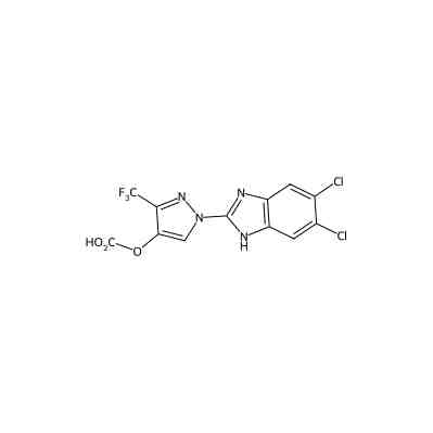 O=C(O)Oc1cn(-c2nc3cc(Cl)c(Cl)cc3[nH]2)nc1C(F)(F)F